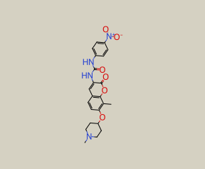 Cc1c(OC2CCN(C)CC2)ccc2cc(NC(=O)Nc3ccc([N+](=O)[O-])cc3)c(=O)oc12